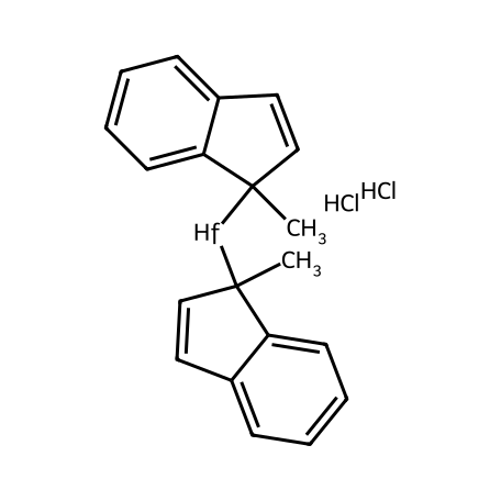 C[C]1([Hf][C]2(C)C=Cc3ccccc32)C=Cc2ccccc21.Cl.Cl